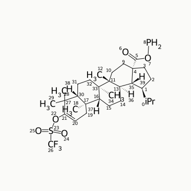 CC(C)[C@@H]1CC[C@]2(C(=O)OP)CC[C@]3(C)[C@H](CC[C@@H]4[C@@]5(C)CC=C(OS(=O)(=O)C(F)(F)F)C(C)(C)[C@@H]5CC[C@]43C)[C@@H]12